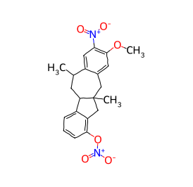 COc1cc2c(cc1[N+](=O)[O-])C(C)CC1c3cccc(O[N+](=O)[O-])c3CC1(C)C2